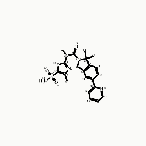 Cc1nc(N(C)C(=O)N2Cc3cc(-c4ccccn4)ccc3C2(C)C)sc1S(N)(=O)=O